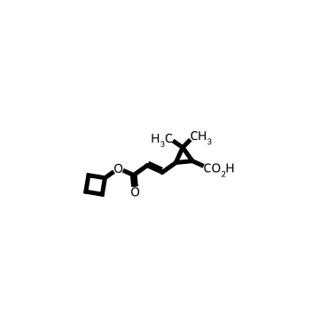 CC1(C)C(/C=C/C(=O)OC2CCC2)C1C(=O)O